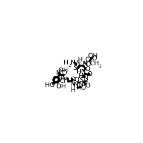 CC(C)(O/N=C(\C(=O)N[C@@H]1C(=O)N2C[C@@](C(=O)O)(N3CCN(NC(=O)CCNC(=O)/C(=N\O)c4ccc(O)c(O)c4Cl)C3=O)S[C@H]12)c1csc(N)n1)C(=O)O